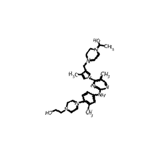 Cc1cn(-c2nc(Nc3ccc(N4CCN(CCO)CC4)c(C)c3)ncc2C)cc1CN1CCN(C(C)O)CC1